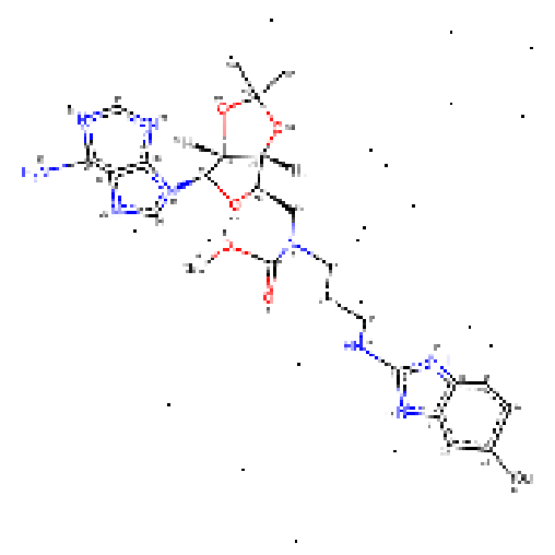 CC(C)(C)OC(=O)N(CCCNc1nc2cc(C(C)(C)C)ccc2[nH]1)C[C@H]1O[C@@H](n2cnc3c(N)ncnc32)[C@@H]2OC(C)(C)O[C@@H]21